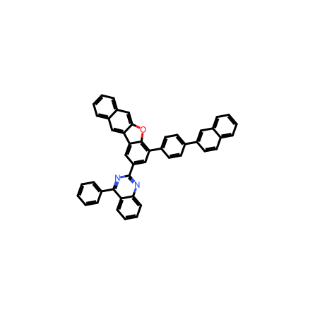 c1ccc(-c2nc(-c3cc(-c4ccc(-c5ccc6ccccc6c5)cc4)c4oc5cc6ccccc6cc5c4c3)nc3ccccc23)cc1